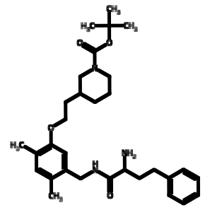 Cc1cc(C)c(OCCC2CCCN(C(=O)OC(C)(C)C)C2)cc1CNC(=O)C(N)CCc1ccccc1